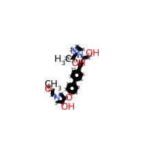 COCCN1C[C@@H](O)[C@H](Oc2ccc(-c3ccc(C#C[C@@H](CO)n4ccnc4[C@H](C)O)cc3)cc2)C1